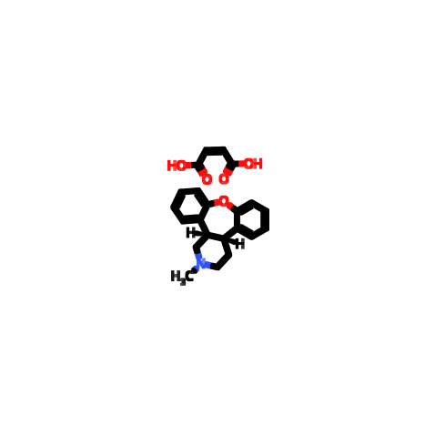 CN1CC[C@H]2c3ccccc3Oc3ccccc3[C@H]2C1.O=C(O)/C=C\C(=O)O